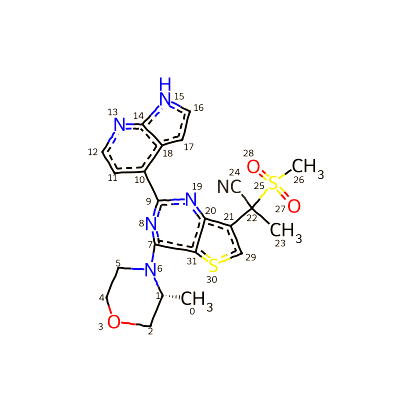 C[C@@H]1COCCN1c1nc(-c2ccnc3[nH]ccc23)nc2c(C(C)(C#N)S(C)(=O)=O)csc12